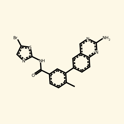 Cc1ccc(C(=O)Nc2ncc(Br)s2)cc1-c1ccc2nc(N)ncc2c1